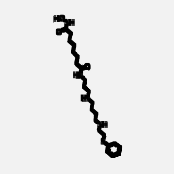 O=C(CCCCCCC(=O)NCCCNCCCCNCCSc1ccccc1)NO